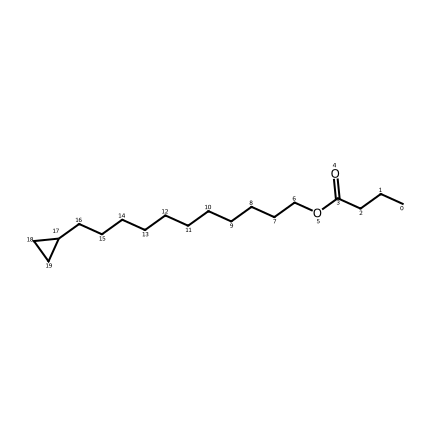 CCCC(=O)OCCCCCCCCCCCC1CC1